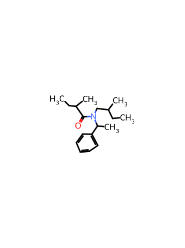 CCC(C)CN(C(=O)C(C)CC)C(C)c1ccccc1